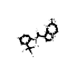 Nc1ccn2ncc(C(=O)Nc3ccccc3C(F)(F)F)c2n1